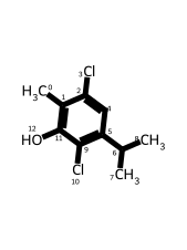 Cc1c(Cl)cc(C(C)C)c(Cl)c1O